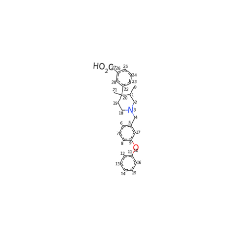 CC1CN(Cc2cccc(Oc3ccccc3)c2)CCC1(C)c1cccc(C(=O)O)c1